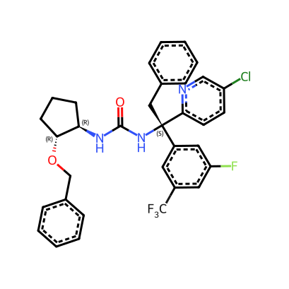 O=C(N[C@@H]1CCC[C@H]1OCc1ccccc1)N[C@@](Cc1ccccc1)(c1cc(F)cc(C(F)(F)F)c1)c1ccc(Cl)cn1